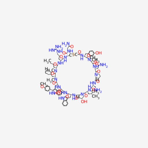 CCCC[C@H]1C(=O)N(C)[C@@H](CCCC)C(=O)N[C@@H](CCCNC(=N)N)C(=O)N[C@H](C(=O)NCC(N)=O)CSCC(=O)N[C@@H](Cc2ccc(O)cc2)C(=O)N(C)[C@@H](C)C(=O)N[C@@H](CC(N)=O)C(=O)N2CCC[C@H]2C(=O)N[C@@H](CN)C(=O)N[C@@H](CC(C)C)C(=O)N2C[C@H](O)C[C@H]2C(=O)N[C@@H](Cc2c[nH]c3ccccc23)C(=O)N[C@@H](CO)C(=O)N[C@@H](Cc2c(-c3ccc(OC)cc3)[nH]c3ccccc23)C(=O)N1C